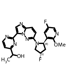 COc1ncc(F)cc1[C@H]1C[C@H](F)CN1c1ccc2ncc(-c3nccc(C(C)O)n3)n2n1